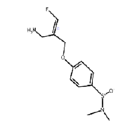 CN(C)[S+]([O-])c1ccc(OC/C(=C/F)CN)cc1